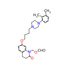 Cc1cccc(N2CCN(CCCCOc3ccc4c(c3)N(COC=O)C(=O)CC4)CC2)c1C